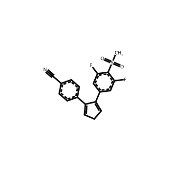 CS(=O)(=O)c1c(F)cc(C2=CCC=C2c2ccc(C#N)cc2)cc1F